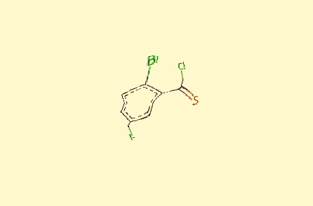 Fc1ccc(Br)c(C(=S)Cl)c1